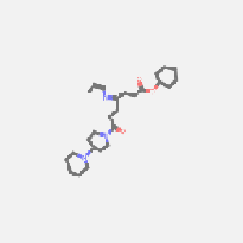 C/C=C\N=C(/CCC(=O)OC1CCCCC1)CCC(=O)N1CCC(N2CCCCC2)CC1